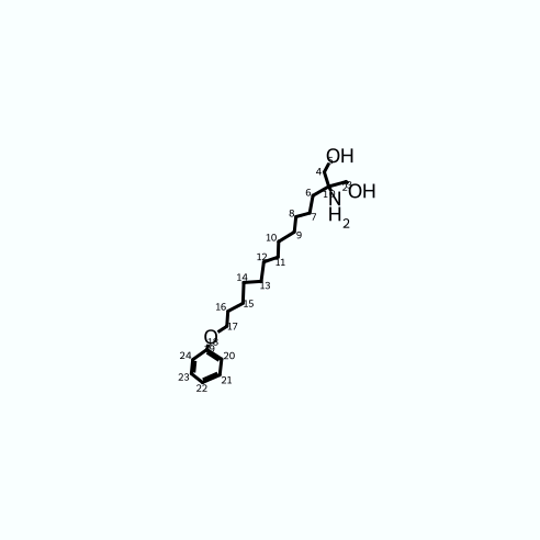 NC(CO)(CO)CCCCCCCCCCCCOc1ccccc1